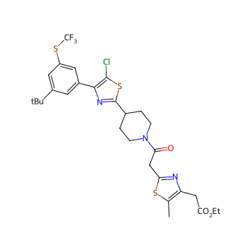 CCOC(=O)Cc1nc(CC(=O)N2CCC(c3nc(-c4cc(SC(F)(F)F)cc(C(C)(C)C)c4)c(Cl)s3)CC2)sc1C